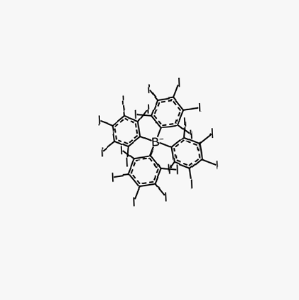 Ic1c(I)c(I)c([B-](c2c(I)c(I)c(I)c(I)c2I)(c2c(I)c(I)c(I)c(I)c2I)c2c(I)c(I)c(I)c(I)c2I)c(I)c1I